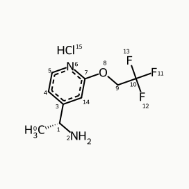 C[C@@H](N)c1ccnc(OCC(F)(F)F)c1.Cl